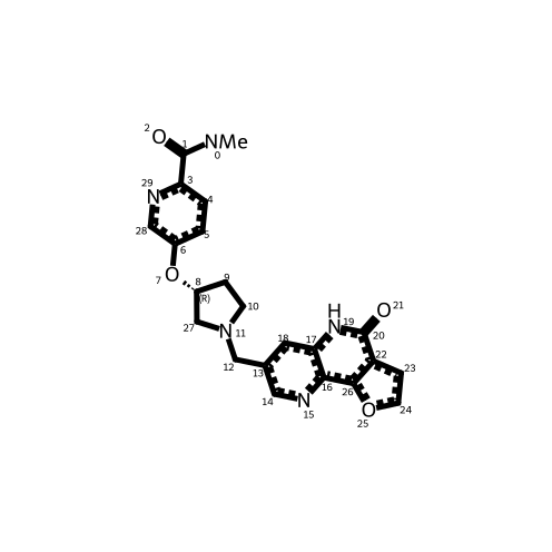 CNC(=O)c1ccc(O[C@@H]2CCN(Cc3cnc4c(c3)[nH]c(=O)c3ccoc34)C2)cn1